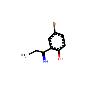 N=C(CC(=O)O)c1cc(Br)ccc1O